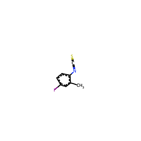 Cc1cc(I)ccc1N=C=S